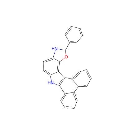 c1ccc(C2Nc3ccc4[nH]c5c6ccccc6c6ccccc6c5c4c3O2)cc1